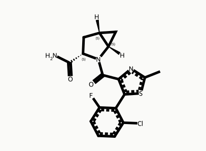 Cc1nc(C(=O)N2[C@H](C(N)=O)C[C@@H]3C[C@@H]32)c(-c2c(F)cccc2Cl)s1